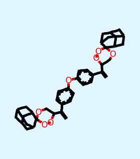 C=C(c1ccc(Oc2ccc(C(=C)C3COC4(OO3)C3CC5CC(C3)CC4C5)cc2)cc1)C1COC2(OO1)C1CC3CC(C1)CC2C3